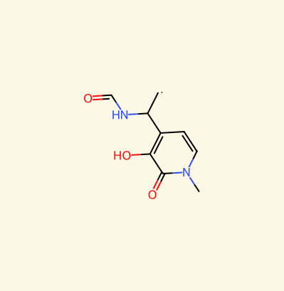 [CH2]C(NC=O)c1ccn(C)c(=O)c1O